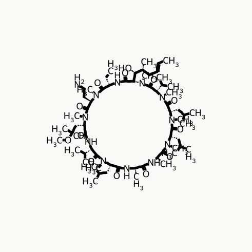 C/C=C/C[C@@H](C)[C@@H](O)[C@H]1C(=O)N[C@@H](CC)C(=O)N(C)[C@H](CCN)C(=O)N(C)[C@@H](CC(C)(C)OC)C(=O)N[C@@H](C(C)C)C(=O)N(C)[C@@H](CC(C)C)C(=O)N[C@@H](C)C(=O)N[C@H](C)C(=O)N(C)[C@@H](CC(C)C)C(=O)N(C)[C@@H](CC(C)C)C(=O)N(C)[C@@H](C(C)C)C(=O)N1C